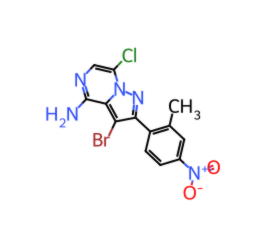 Cc1cc([N+](=O)[O-])ccc1-c1nn2c(Cl)cnc(N)c2c1Br